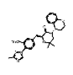 COc1cc(/C=C2\OC(C)(C)CN([C@H]3CCOc4ccccc43)C2=O)ccc1-n1cnc(C)n1